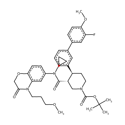 COCCCN1C(=O)COc2ccc(N(C(=O)[C@H]3CN(C(=O)OC(C)(C)C)CC[C@@H]3c3cccc(-c4ccc(OC)c(F)c4)c3)C3CC3)cc21